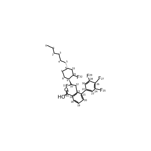 CCCCCC[C@H]1CC[C@H](C(F)Cc2c(C(=O)O)cccc2-c2cc(F)c(F)c(F)c2)C(F)C1